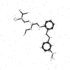 FCO[C@H](CCN(C(F)F)C(F)(F)F)COc1ccccc1CCc1cccc(OC(F)(F)F)c1